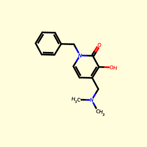 CN(C)Cc1ccn(Cc2ccccc2)c(=O)c1O